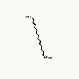 CCCCCC=CCCC=CCCCCCC=CCC(=O)O